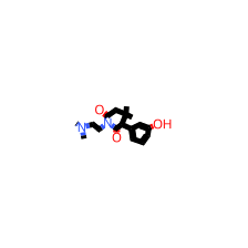 CN(C)CCN1C(=O)CC(C)(C)C(c2cccc(O)c2)C1=O